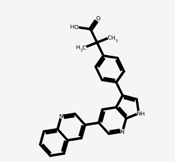 CC(C)(C(=O)O)c1ccc(-c2c[nH]c3ncc(-c4cnc5ccccc5c4)cc23)cc1